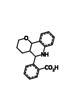 O=C(O)c1ccccc1C1Nc2ccccc2C2OCCCC12